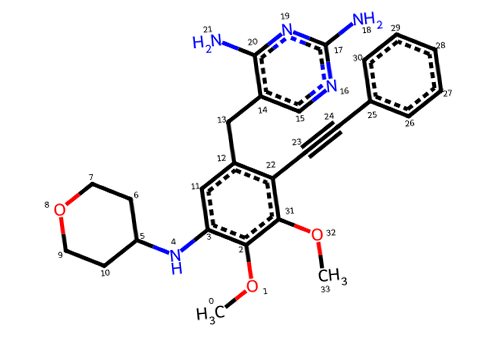 COc1c(NC2CCOCC2)cc(Cc2cnc(N)nc2N)c(C#Cc2ccccc2)c1OC